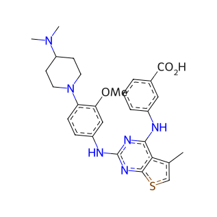 COc1cc(Nc2nc(Nc3cccc(C(=O)O)c3)c3c(C)csc3n2)ccc1N1CCC(N(C)C)CC1